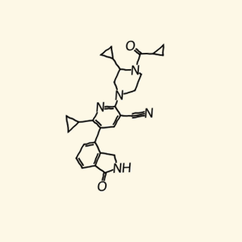 N#Cc1cc(-c2cccc3c2CNC3=O)c(C2CC2)nc1N1CCN(C(=O)C2CC2)C(C2CC2)C1